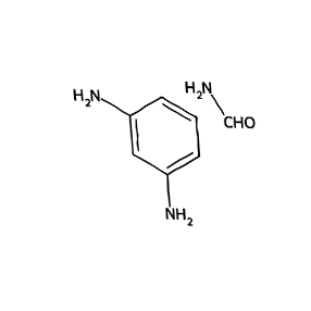 NC=O.Nc1cccc(N)c1